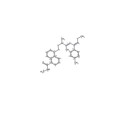 CC/N=C(\C=C(/C)N(C)CCc1cccc2c(C(=O)NC)ccnc12)c1cnc(C)nc1